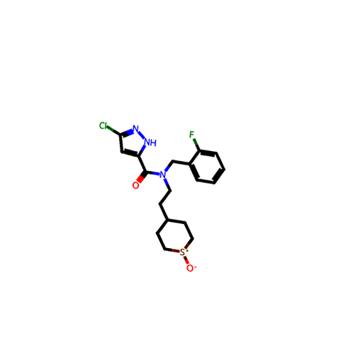 O=C(c1cc(Cl)n[nH]1)N(CCC1CC[S+]([O-])CC1)Cc1ccccc1F